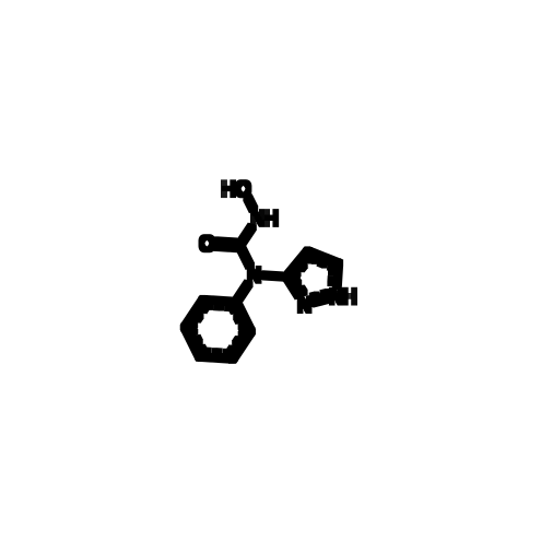 O=C(NO)N(c1ccccc1)c1cc[nH]n1